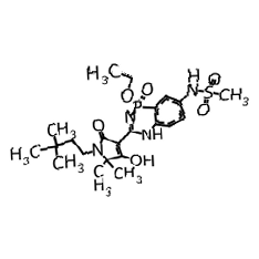 CCOP1(=O)N=C(C2=C(O)C(C)(C)N(CCC(C)(C)C)C2=O)Nc2ccc(NS(C)(=O)=O)cc21